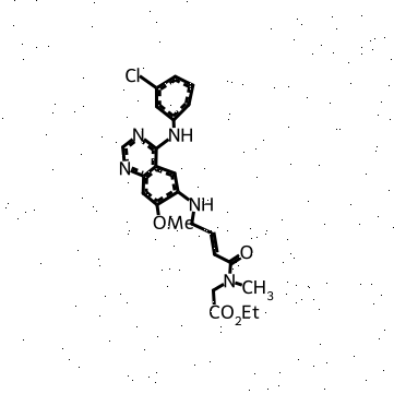 CCOC(=O)CN(C)C(=O)C=CCNc1cc2c(Nc3cccc(Cl)c3)ncnc2cc1OC